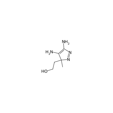 CC1(CCO)N=NC(N)=C1N